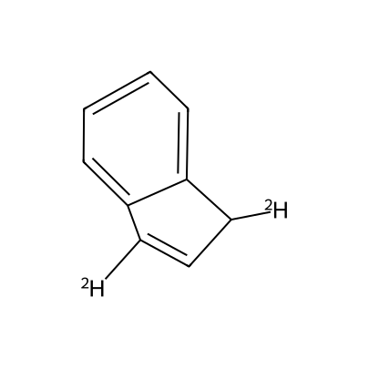 [2H]C1=CC([2H])c2ccccc21